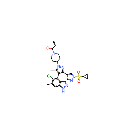 C=CC(=O)N1CCC(n2nc(-c3cnn(S(=O)(=O)C4CC4)c3)c(-c3c(Cl)c(C)cc4[nH]ncc34)c2C)CC1